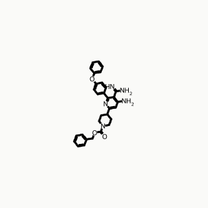 N=C(N)c1c(N)cc(C2CCN(C(=O)OCc3ccccc3)CC2)nc1-c1ccc(Oc2ccccc2)cc1